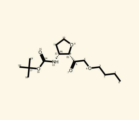 CCCCOCC(=O)[C@H]1OCC[C@H]1NC(=O)OC(C)(C)C